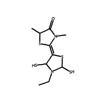 CCN1C(S)S/C(=C2/SC(C)C(=O)N2C)C1S